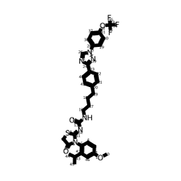 COc1ccc(N2C(=O)CS/C2=N\C(=O)NCCCCc2ccc(-c3ncn(-c4ccc(OC(F)(F)F)cc4)n3)cc2)c(C(C)C)c1